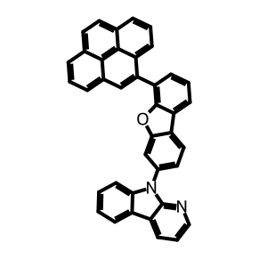 c1cc2ccc3cccc4c(-c5cccc6c5oc5cc(-n7c8ccccc8c8cccnc87)ccc56)cc(c1)c2c34